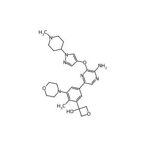 Cc1c(N2CCOCC2)cc(-c2cnc(N)c(Oc3cnn(C4CCN(C)CC4)c3)n2)cc1C1(O)COC1